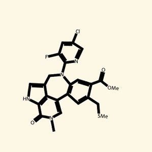 COC(=O)c1cc2c(cc1CSC)-c1cn(C)c(=O)c3[nH]cc(c13)CN2c1ncc(Cl)cc1F